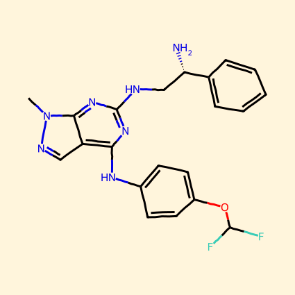 Cn1ncc2c(Nc3ccc(OC(F)F)cc3)nc(NC[C@H](N)c3ccccc3)nc21